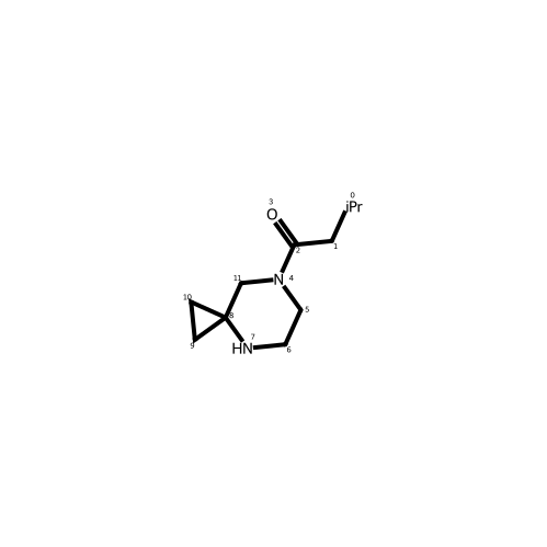 CC(C)CC(=O)N1CCNC2(CC2)C1